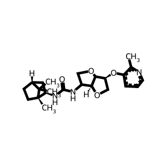 Cc1ncccc1O[C@H]1CO[C@H]2C(NC(=O)N[C@@H]3C[C@H]4CC[C@]3(C)C4(C)C)COC21